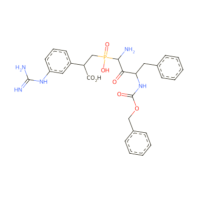 N=C(N)Nc1cccc(C(CP(=O)(O)C(N)C(=O)C(Cc2ccccc2)NC(=O)OCc2ccccc2)C(=O)O)c1